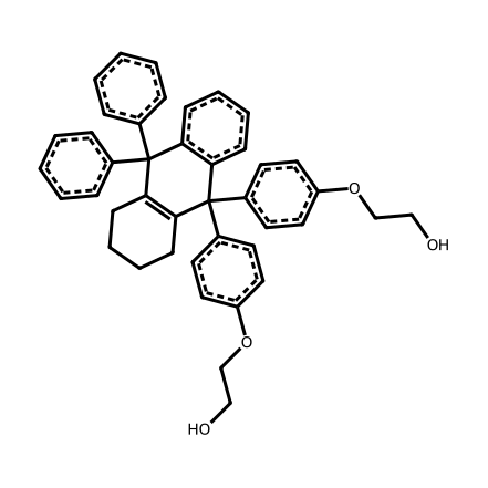 OCCOc1ccc(C2(c3ccc(OCCO)cc3)C3=C(CCCC3)C(c3ccccc3)(c3ccccc3)c3ccccc32)cc1